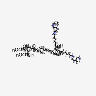 CC/C=C\C/C=C\C/C=C\CCCCCC[C@H](O)CN(C[C@@H](O)CCCCCC/C=C\C/C=C\C/C=C\CC)C(C)CCSSCCN1CCN(CCOC(=O)CCC(C)N(CC(O)CCCCCCCC)CC(O)CCCCCCCC)CC1